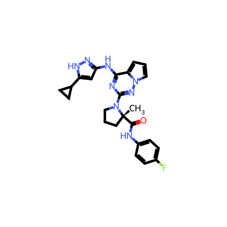 C[C@@]1(C(=O)Nc2ccc(F)cc2)CCCN1c1nc(Nc2cc(C3CC3)[nH]n2)c2cccn2n1